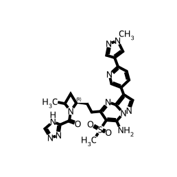 CC1C[C@@H](CCc2nc3c(-c4ccc(-c5cnn(C)c5)nc4)cnn3c(N)c2S(C)(=O)=O)N1C(=O)c1nnc[nH]1